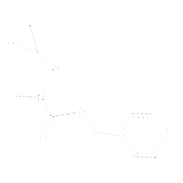 CN(OC1CC1)C(=O)OCc1ccccc1